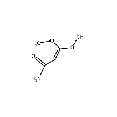 COC(=CC(N)=O)OC